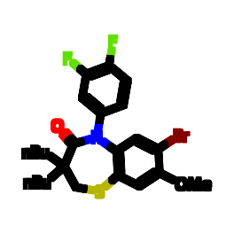 CCCCC1(CCCC)CSc2cc(OC)c(Br)cc2N(c2ccc(F)c(F)c2)C1=O